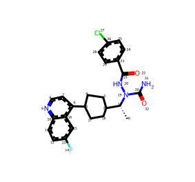 C[C@H](C1CCC(c2ccnc3ccc(F)cc23)CC1)N(NC(=O)c1ccc(Cl)cc1)C(N)=O